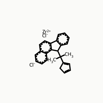 CC(C)(C1=CC=CC1)C1c2ccccc2-c2ccc3ccccc3c21.[Cl-].[Cl-].[Zr+2]